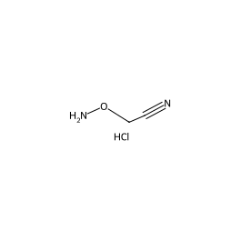 Cl.N#CCON